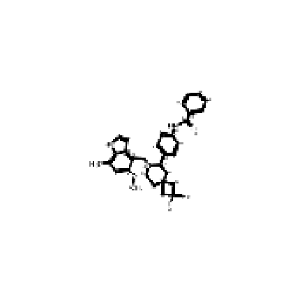 COc1cc(C)c2[nH]ccc2c1CN1CCC2(CC1c1ccc(NC(=O)c3ccccc3)cc1)CC(F)(F)C2